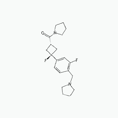 O=C([C@H]1C[C@@](F)(c2ccc(CN3CCCC3)c(F)c2)C1)N1CCCC1